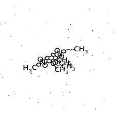 CCCCCc1ccc(N2C(=O)c3ccc4c5ccc6c7c(cc(OCC(CC)CCCC)c(c8c(OCC(C)C)cc(c3c48)C2=O)c75)C(=O)N(c2ccc(C)cc2)C6=O)cc1